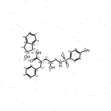 CCCc1ccc(S(=O)(=O)NC[C@@H](O)C[C@@H](Cc2ccccc2)C(=O)N[C@H]2c3ccccc3C[C@H]2O)cc1